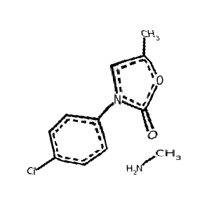 CN.Cc1cn(-c2ccc(Cl)cc2)c(=O)o1